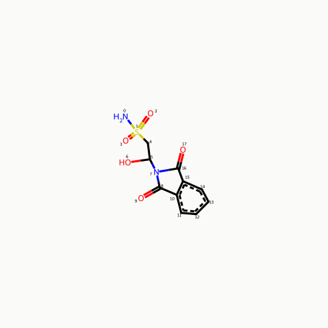 NS(=O)(=O)CC(O)N1C(=O)c2ccccc2C1=O